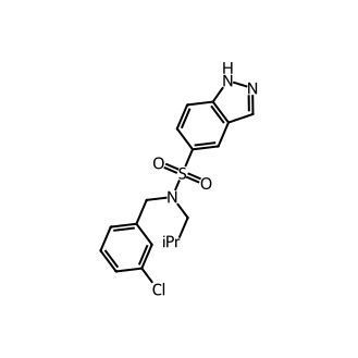 CC(C)CN(Cc1cccc(Cl)c1)S(=O)(=O)c1ccc2[nH]ncc2c1